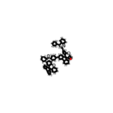 O=P(c1ccccc1)(c1ccc(-c2ccc3c(c2)-c2ccccc2C32c3ccccc3Oc3cc(-c4nc(-c5ccccc5)c5ccccc5n4)ccc32)cc1)c1ccc2c(c1)Oc1ccccc1C21c2ccccc2-c2ccccc21